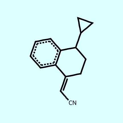 N#CC=C1CCC(C2CC2)c2ccccc21